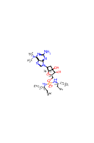 CCOC(=O)[C@H](CC(C)C)NP(=O)(N[C@@H](CC(C)C)C(=O)OCC)OC[C@H]1O[C@H]2C(n3cnc4c(N(C)C)nc(N)nc43)CC2(O)C1O